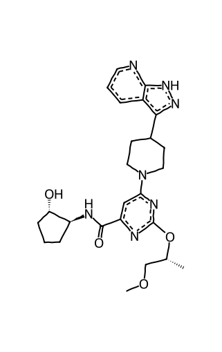 COC[C@@H](C)Oc1nc(C(=O)N[C@H]2CCC[C@@H]2O)cc(N2CCC(c3n[nH]c4ncccc34)CC2)n1